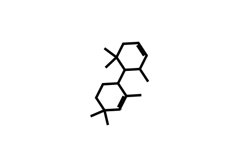 CC1=[C]C(C)(C)CCC1C1C(C)C=CCC1(C)C